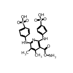 Cc1c(Nc2ccc(S(=O)(=O)O)cc2)nc(Nc2ccc(S(=O)(=O)O)cc2)c(C(=O)ON)c1C